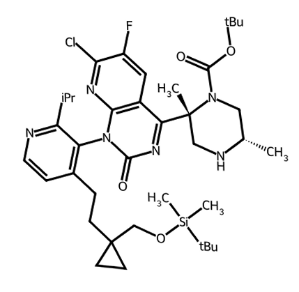 CC(C)c1nccc(CCC2(CO[Si](C)(C)C(C)(C)C)CC2)c1-n1c(=O)nc([C@@]2(C)CN[C@@H](C)CN2C(=O)OC(C)(C)C)c2cc(F)c(Cl)nc21